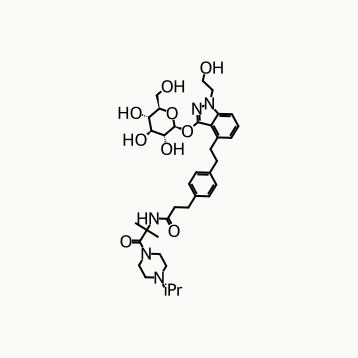 CC(C)N1CCN(C(=O)C(C)(C)NC(=O)CCc2ccc(CCc3cccc4c3c(O[C@@H]3O[C@H](CO)[C@@H](O)[C@H](O)[C@H]3O)nn4CCO)cc2)CC1